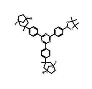 CC1(c2ccc(-c3nc(-c4ccc(B5OC(C)(C)C(C)(C)O5)cc4)nc(-c4ccc(C5(C)C[C@@H]6CC[C@@H](C6)C5)cc4)n3)cc2)C[C@@H]2CC[C@@H](C2)C1